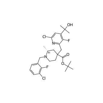 C[C@@H]1CC(Cc2nc(Cl)cc(C(C)(C)O)c2F)(C(=O)OC(C)(C)C)CCN1Cc1cccc(Cl)c1F